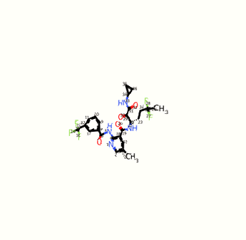 Cc1cnc(NC(=O)c2cccc(C(F)(F)F)c2)c(C(=O)N[C@@H](CCC(C)(F)F)C(=O)C(=O)NC2CC2)c1